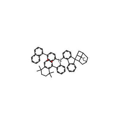 CC1(C)CCC(C)(C)c2c(-c3ccccc3N(c3ccc(-c4cccc5ccccc45)cc3)c3cccc4c3-c3ccccc3C43C4CC5CC6CC3C64C5)cccc21